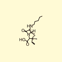 C=C[C@@]1(C)S[C@H]2[C@H](NCCCCC)C(=O)N2C1C(=O)O